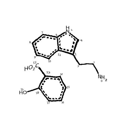 NCCc1c[nH]c2ccccc12.O=C(O)c1ccccc1O